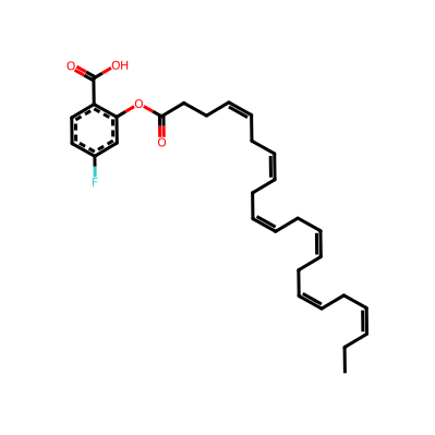 CC/C=C\C/C=C\C/C=C\C/C=C\C/C=C\C/C=C\CCC(=O)Oc1cc(F)ccc1C(=O)O